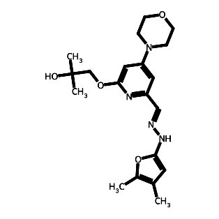 Cc1cc(N/N=C/c2cc(N3CCOCC3)cc(OCC(C)(C)O)n2)oc1C